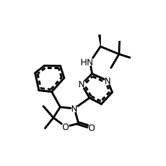 C[C@H](Nc1nccc(N2C(=O)OC(C)(C)C2c2ccccc2)n1)C(C)(C)C